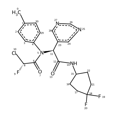 Cc1ccc(N(C(=O)[C@H](F)Cl)[C@H](C(=O)NC2CCC(F)(F)CC2)c2cncnc2)cc1